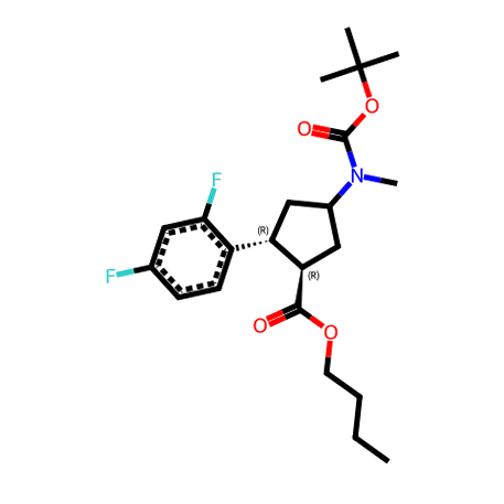 CCCCOC(=O)[C@@H]1CC(N(C)C(=O)OC(C)(C)C)C[C@H]1c1ccc(F)cc1F